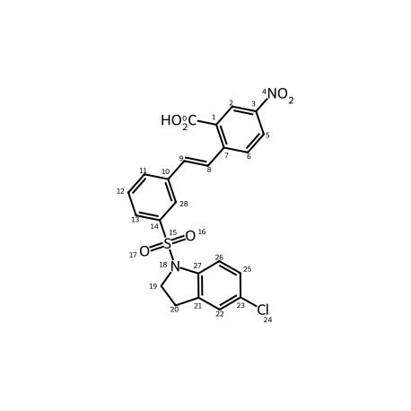 O=C(O)c1cc([N+](=O)[O-])ccc1C=Cc1cccc(S(=O)(=O)N2CCc3cc(Cl)ccc32)c1